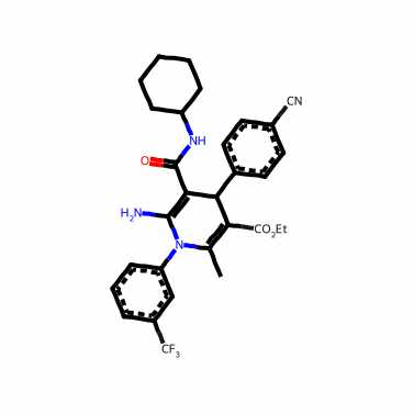 CCOC(=O)C1=C(C)N(c2cccc(C(F)(F)F)c2)C(N)=C(C(=O)NC2CCCCC2)C1c1ccc(C#N)cc1